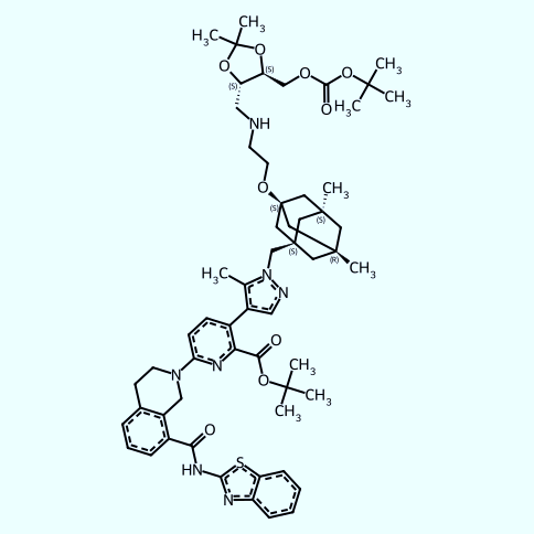 Cc1c(-c2ccc(N3CCc4cccc(C(=O)Nc5nc6ccccc6s5)c4C3)nc2C(=O)OC(C)(C)C)cnn1C[C@@]12C[C@]3(C)C[C@](C)(C1)C[C@@](OCCNC[C@@H]1OC(C)(C)O[C@H]1COC(=O)OC(C)(C)C)(C3)C2